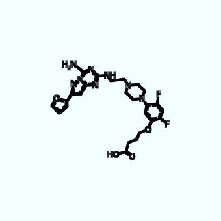 Nc1nc(NCCN2CCN(c3cc(OCCCC(=O)O)c(F)cc3F)CC2)nc2cc(-c3ccco3)nn12